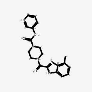 Cc1cccc2[nH]c(C(=O)N3CCN(C(=O)Oc4cccnc4)CC3)nc12